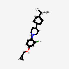 CC(=O)N[C@@H](C)c1ccc(C2CCN(c3ccc(OCC4CC4)cc3F)CC2)cc1